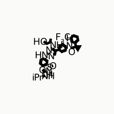 CC(C)NC(=O)/N=[SH](=O)\c1cccc(Nc2ncc(-c3ccc(NC(=O)C4(c5cccc(C(F)(F)F)c5)CC4)cc3)c(NC(C)CO)n2)c1